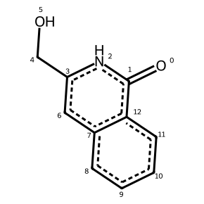 O=c1[nH]c(CO)cc2ccccc12